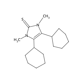 Cn1c(C2CCCCC2)c(C2CCCCC2)n(C)c1=S